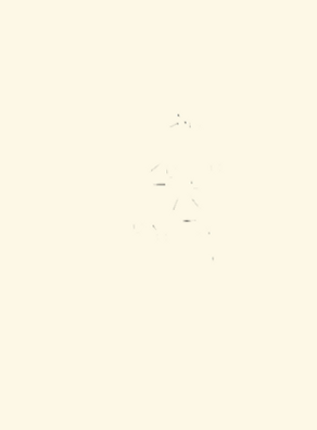 COCOc1cc(CC(=O)OC)c(-c2ccc(CC/C(C)=N\OC)o2)c(OCOC)c1